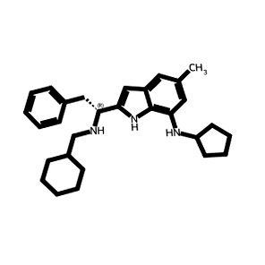 Cc1cc(NC2CCCC2)c2[nH]c([C@@H](Cc3ccccc3)NCC3CCCCC3)cc2c1